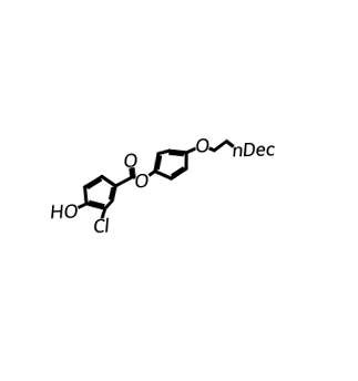 CCCCCCCCCCCCOc1ccc(OC(=O)c2ccc(O)c(Cl)c2)cc1